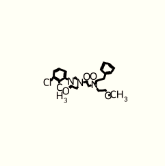 COCCN(CC(=O)N1CC(=O)N(c2cccc(Cl)c2C)C1)C(=O)Cc1ccccc1